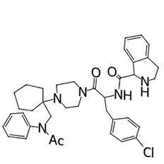 CC(=O)N(CC1(N2CCN(C(=O)C(Cc3ccc(Cl)cc3)NC(=O)C3NCCc4ccccc43)CC2)CCCCC1)c1ccccc1